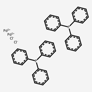 [Cl-].[Cl-].[Pd+2].[Pd+2].c1ccc(P(c2ccccc2)c2ccccc2)cc1.c1ccc(P(c2ccccc2)c2ccccc2)cc1